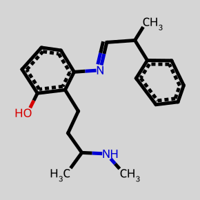 CNC(C)CCc1c(O)cccc1/N=C/C(C)c1ccccc1